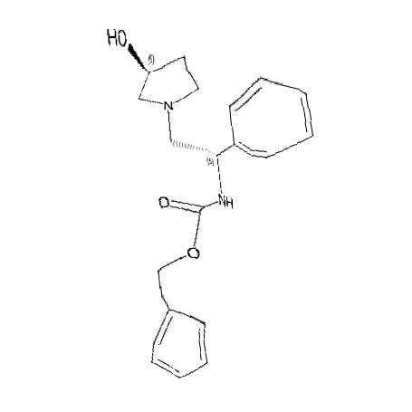 O=C(N[C@H](CN1CC[C@H](O)C1)c1ccccc1)OCc1ccccc1